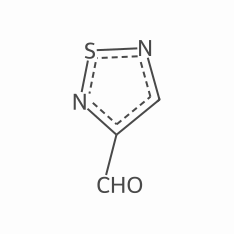 O=Cc1cnsn1